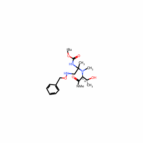 CNC(=O)[C@H]([C@@H](C)O)N(C)C(C)(CNOCc1ccccc1)NC(=O)OC(C)(C)C